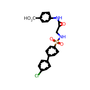 O=C(O)c1ccc(NC2OC2CNS(=O)(=O)c2ccc(-c3ccc(Cl)cc3)cc2)cc1